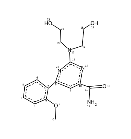 COc1ccccc1-c1cc(C(N)=O)nc(N(CCO)CCO)n1